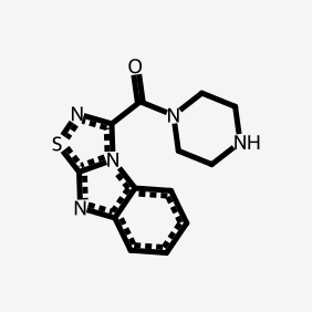 O=C(c1nsc2nc3ccccc3n12)N1CCNCC1